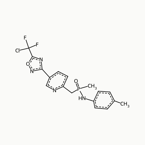 Cc1ccc(NP(C)(=O)Cc2ccc(-c3noc(C(F)(F)Cl)n3)cn2)cc1